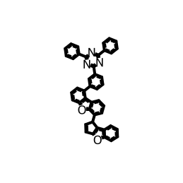 C1=CC(c2cccc3c2oc2cccc(-c4cccc(-c5nc(-c6ccccc6)nc(-c6ccccc6)n5)c4)c23)c2c1oc1ccccc21